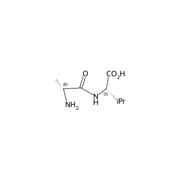 CC(C)[C@H](NC(=O)[C@@H](C)N)C(=O)O